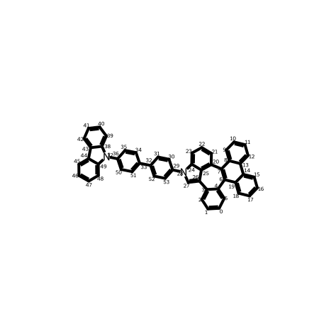 c1ccc2c(c1)-c1c(c3ccccc3c3ccccc13)-c1cccc3c1c-2cn3-c1ccc(-c2ccc(-n3c4ccccc4c4ccccc43)cc2)cc1